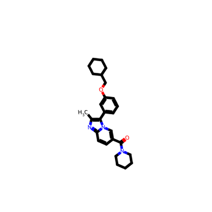 Cc1nc2ccc(C(=O)N3CCCCC3)cn2c1-c1cccc(OCC2CCCCC2)c1